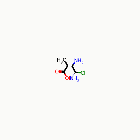 CCC(=O)O.NC[C@@H](N)Cl